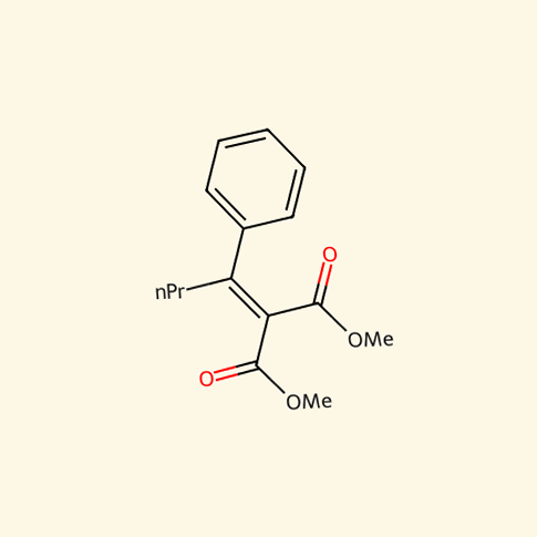 CCCC(=C(C(=O)OC)C(=O)OC)c1ccccc1